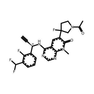 C#C[C@@H](Nc1ncnc2c1cc(C1(F)CCN(C(C)=O)C1)c(=O)n2C)c1cccc(C(F)F)c1F